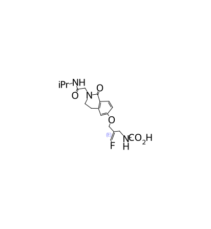 CC(C)NC(=O)CN1CCc2cc(OC/C(=C/F)CNC(=O)O)ccc2C1=O